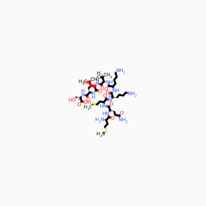 CSCCC(NC(=O)[C@H](CCC(N)=O)NC(=O)[C@@H](N)CCSC)C(=O)N[C@@H](CCCCN)C(=O)NC(CCCCN)C(=O)N[C@H](C(=O)NC(CC(C)C)C(=O)N[C@@H](CC(=O)O)C(=O)N[C@@H](CO)C(=O)O)C(C)C